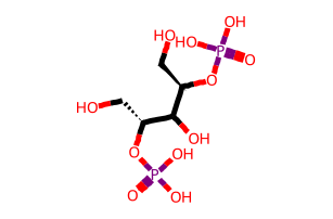 O=P(O)(O)O[C@H](CO)C(O)[C@@H](CO)OP(=O)(O)O